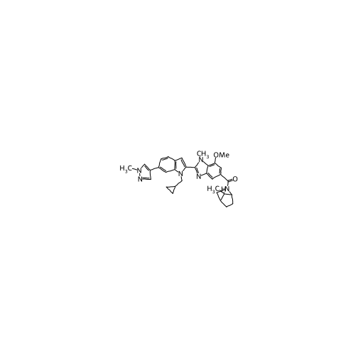 COc1cc(C(=O)N2CC3CCC2[C@@H]3C)cc2nc(-c3cc4ccc(-c5cnn(C)c5)cc4n3CC3CC3)n(C)c12